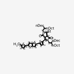 CCCCCCCCCCC(CCCCCCCC)CN1C(=O)C2=C(c3ccc(-c4cc5sc(-c6ccc(C)s6)cc5s4)s3)N(CC(CCCCCCCC)CCCCCCCCCC)C(=O)C2=C1CC